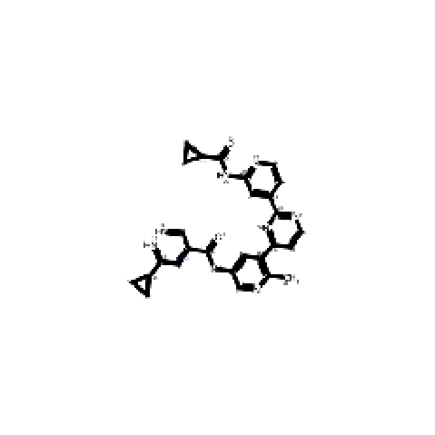 Cc1ncc(NC(=O)/C(C=N)=C/C(=N)C2CC2)cc1-c1ccnc(-c2ccnc(NC(=O)C3CC3)c2)n1